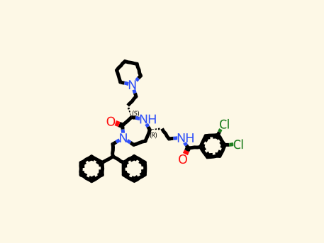 O=C(NCC[C@@H]1CCN(CC(c2ccccc2)c2ccccc2)C(=O)[C@H](CCN2CCCCC2)N1)c1ccc(Cl)c(Cl)c1